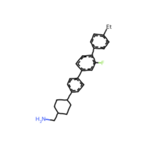 CCc1ccc(-c2ccc(-c3ccc(C4CCC(CN)CC4)cc3)cc2F)cc1